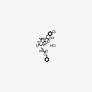 COC(=O)[C@@H](CCNC(=O)OCc1ccccc1)N[C@@H](CC(C)C)C(=O)N[C@@H](Cc1ccc(OC)cc1)C(=O)O.Cl